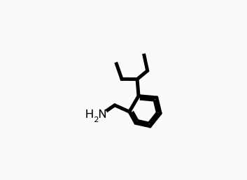 CCC(CC)C1=C=C=C=C=C1CN